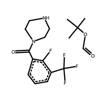 CC(C)(C)OC=O.O=C(c1cccc(C(F)(F)F)c1F)N1CCNCC1